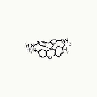 Nc1ccc2c(c1)C1(c3cc(N)ccc3O2)c2cc(N)ccc2-c2ccc(N)cc21